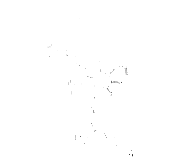 CCCCCCCCCCCCCCC(C)CCCCC(CCCCCCCC)OC(=O)c1ccccc1C(=O)OC(CCCCCCCC)CCCCC(C)CCCCCCCCCCCCCC